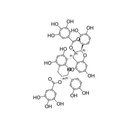 O=C(O[C@@H]1[C@@H](c2c(O)cc(O)c3c2O[C@H](c2ccc(O)c(O)c2)[C@H](OC(=O)c2cc(O)c(O)c(O)c2)C3)c2c(O)cc(O)cc2O[C@@H]1c1ccc(O)c(O)c1)c1cc(O)c(O)c(O)c1